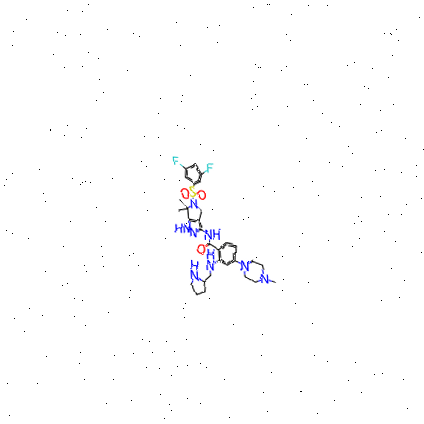 CN1CCN(c2ccc(C(=O)Nc3n[nH]c4c3CN(S(=O)(=O)c3cc(F)cc(F)c3)C4(C)C)c(NCC3CCCN3)c2)CC1